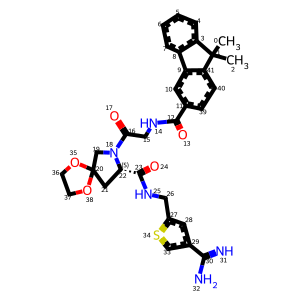 CC1(C)c2ccccc2-c2cc(C(=O)NCC(=O)N3CC4(C[C@H]3C(=O)NCc3cc(C(=N)N)cs3)OCCO4)ccc21